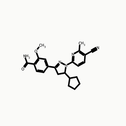 COc1cc(C2=NN(c3ccc(C#N)c(C)n3)C(C3CCCC3)C2)ccc1C(N)=O